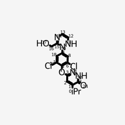 CC(C)c1cc(Oc2c(Cl)cc(N3NC=CN=C3CO)cc2Cl)n[nH]c1=O